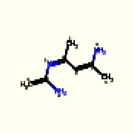 C=C(N)/N=C(C)\C=C(\C)N